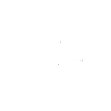 O=C(O)C1Sc2nccc3c2C1NC(=O)N3c1ccccc1